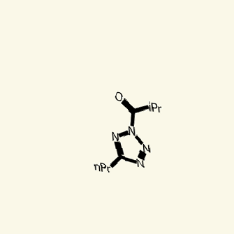 CCCc1nnn(C(=O)C(C)C)n1